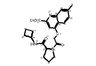 CCOC(=O)c1cc(OCC(=O)N2CCCC2C(=O)NC2CCC2)c2ccc(C)cc2n1